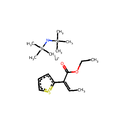 CC=C(C(=O)OCC)c1cccs1.C[Si](C)(C)[N-][Si](C)(C)C.[Li+]